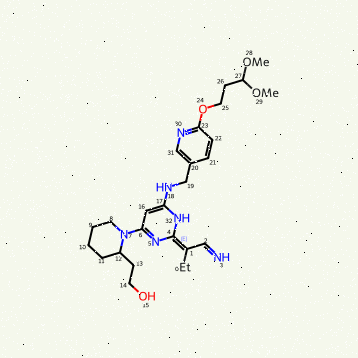 CC/C(C=N)=C1\N=C(N2CCCCC2CCO)C=C(NCc2ccc(OCCC(OC)OC)nc2)N1